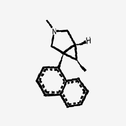 C[C@@H]1[C@H]2CN(C)C[C@@]12c1cccc2ccccc12